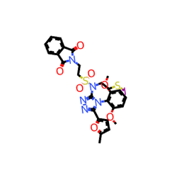 COc1cccc(OC)c1-n1c(-c2ccc(C)o2)nnc1N(CCSI)S(=O)(=O)CCN1C(=O)c2ccccc2C1=O